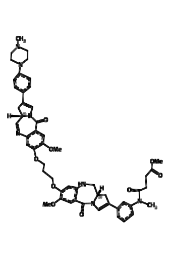 COC(=O)CCC(=O)N(C)c1cccc(C2=CN3C(=O)c4cc(OC)c(OCCCOc5cc6c(cc5OC)C(=O)N5C=C(c7ccc(N8CCN(C)CC8)cc7)C[C@H]5C=N6)cc4NC[C@@H]3C2)c1